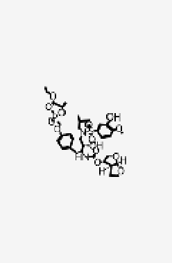 CCOC(=O)C(C)OP(C)(=O)COc1ccc(C[C@H](NC(=O)O[C@H]2CO[C@H]3OCC[C@H]32)[C@H](O)CN(CC(C)C)S(=O)(=O)c2ccc(OC)c(O)c2)cc1